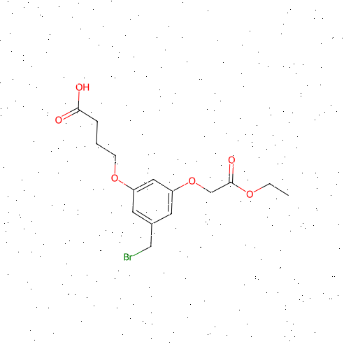 CCOC(=O)COc1cc(CBr)cc(OCCCC(=O)O)c1